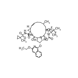 CCOc1cc2ccccc2c(O[C@@H]2C[C@H]3C(=O)N[C@]4(C(=O)NS(=O)(=O)C5(C)CC5)C[C@H]4C=CCC[C@@H](C)C[C@@H](C)[C@H](N(C(=O)O)C(C)(C)C(C)(F)F)C(=O)N3C2)n1